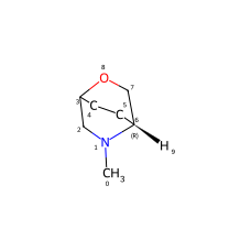 CN1CC2CC[C@@H]1CO2